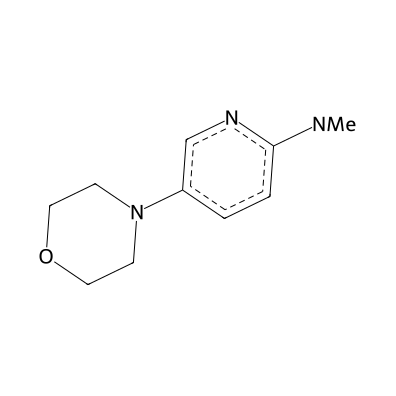 CNc1ccc(N2CCOCC2)cn1